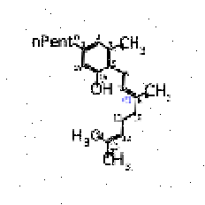 CCCCCc1cc(C)c(C/C=C(\C)CCC=C(C)C)c(O)c1